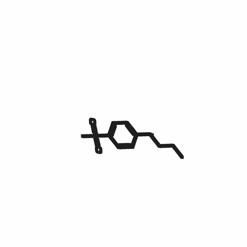 CCC[CH]c1ccc(S(C)(=O)=O)cc1